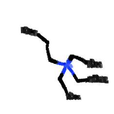 CCCCCCCCCCCC[N+](CCCCCCCCCCC)(CCCCCCCCCCC)CCCCCCCCCCC